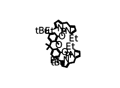 CCc1ccc2n1P(Oc1cc(C(C)(C)C)cc3c1Oc1c(OP4n5c(CC)ccc5Cc5ccc(CC)n54)cc(C(C)(C)C)cc1C3(C)C)n1c(CC)ccc1C2